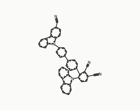 N#Cc1ccc2c(c1)c1ccccc1n2-c1ccc(-c2ccc(-c3c(-n4c5ccccc5c5ccccc54)ccc(C#N)c3C#N)cc2)cc1